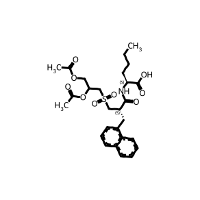 CCCC[C@H](NC(=O)[C@H](Cc1cccc2ccccc12)CS(=O)(=O)CC(COC(C)=O)OC(C)=O)C(=O)O